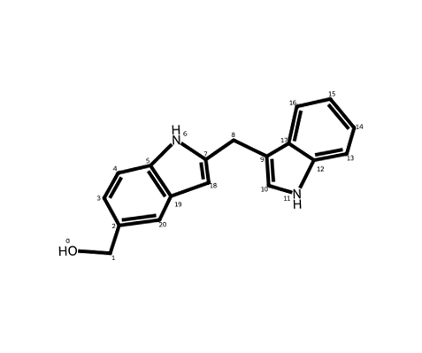 OCc1ccc2[nH]c(Cc3c[nH]c4ccccc34)cc2c1